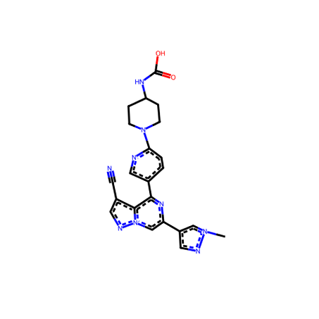 Cn1cc(-c2cn3ncc(C#N)c3c(-c3ccc(N4CCC(NC(=O)O)CC4)nc3)n2)cn1